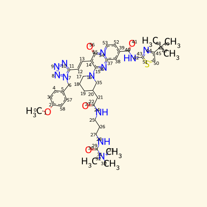 COc1ccc(Cn2nnnc2/C=C/c2c(N3CCCC(CC(=O)NCCCNC(=O)[N+](C)(C)C)C3)nc3cc(C(=O)Nc4nc(C(C)(C)C)cs4)ccn3c2=O)cc1